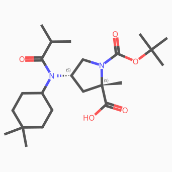 CC(C)C(=O)N(C1CCC(C)(C)CC1)[C@@H]1CN(C(=O)OC(C)(C)C)[C@](C)(C(=O)O)C1